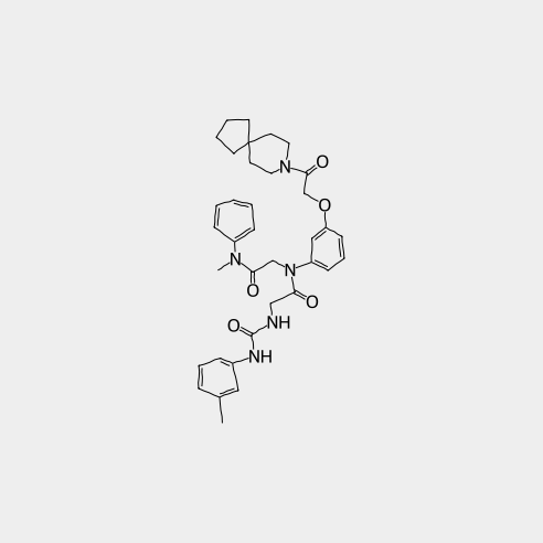 Cc1cccc(NC(=O)NCC(=O)N(CC(=O)N(C)c2ccccc2)c2cccc(OCC(=O)N3CCC4(CCCC4)CC3)c2)c1